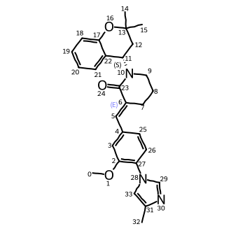 COc1cc(/C=C2\CCCN([C@H]3CC(C)(C)Oc4ccccc43)C2=O)ccc1-n1cnc(C)c1